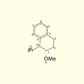 CO[C@H]1CCc2ccccc2C1C(C)C